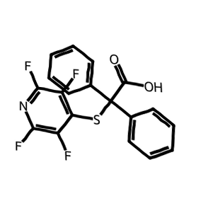 O=C(O)C(Sc1c(F)c(F)nc(F)c1F)(c1ccccc1)c1ccccc1